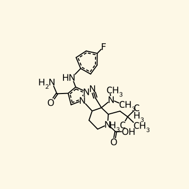 CN(C)C1(C#N)C(CC(C)(C)C)N(C(=O)O)CCC1n1cc(C(N)=O)c(Nc2ccc(F)cc2)n1